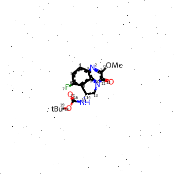 COc1nc2ccc(F)c3c2n(c1=O)C[C@@H]3NC(=O)OC(C)(C)C